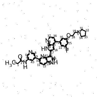 CCC(=O)Nc1cncc(-c2ccc3[nH]nc(-c4cc5c(-c6cc(F)cc(OCCN7CCCC7)c6)ccnc5[nH]4)c3n2)c1